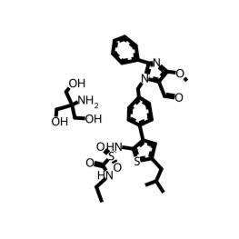 CCNC(=O)S(=O)(=O)Nc1sc(CC(C)C)cc1-c1ccc(Cn2c(-c3ccccc3)nc(OC)c2C=O)cc1.NC(CO)(CO)CO